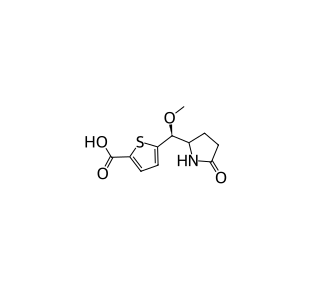 CO[C@H](c1ccc(C(=O)O)s1)C1CCC(=O)N1